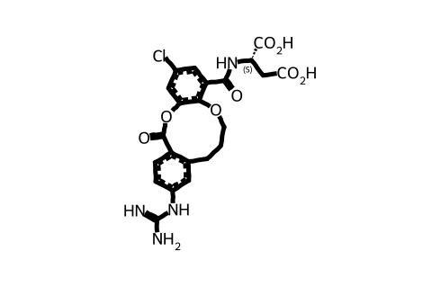 N=C(N)Nc1ccc2c(c1)CCCOc1c(cc(Cl)cc1C(=O)N[C@@H](CC(=O)O)C(=O)O)OC2=O